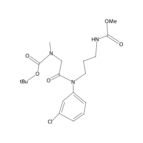 COC(=O)NCCCN(C(=O)CN(C)C(=O)OC(C)(C)C)c1cccc(Cl)c1